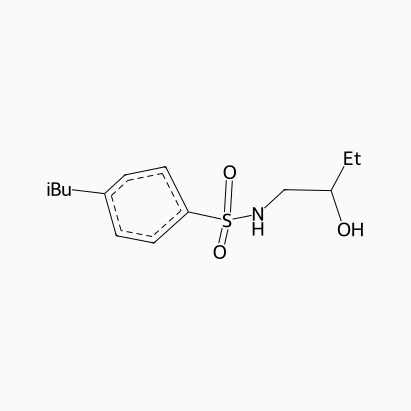 CCC(O)CNS(=O)(=O)c1ccc(C(C)CC)cc1